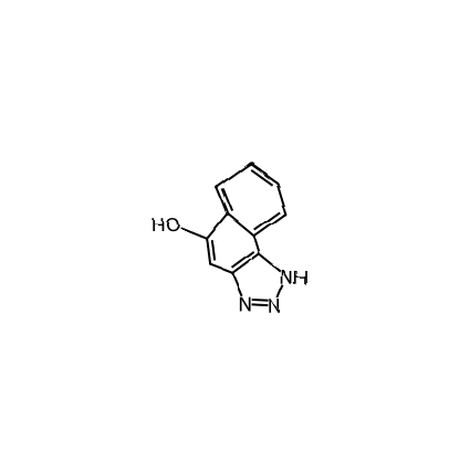 Oc1cc2nn[nH]c2c2ccccc12